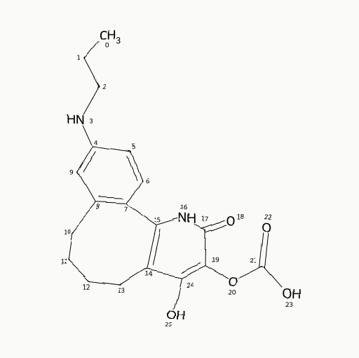 CCCNc1ccc2c(c1)CCCCc1c-2[nH]c(=O)c(OC(=O)O)c1O